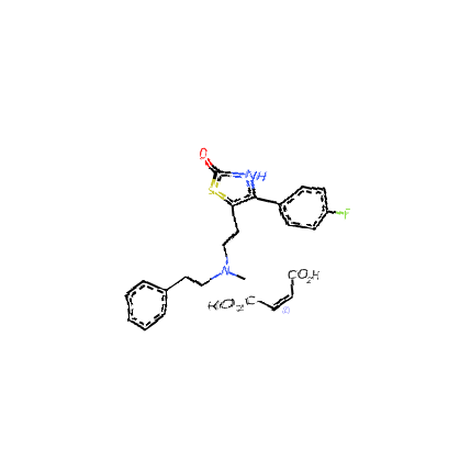 CN(CCc1ccccc1)CCc1sc(=O)[nH]c1-c1ccc(F)cc1.O=C(O)/C=C\C(=O)O